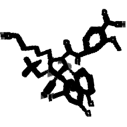 COc1cc(NC(=O)[C@H]2[C@H](c3cccc(Cl)c3F)[C@@](C#N)(c3ccc(Cl)cc3F)[C@H](CC(C)(C)C)N2CCCCCO)ccc1C(=O)O